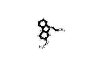 CCCn1c2ccccc2c2ccc(OC)cc21